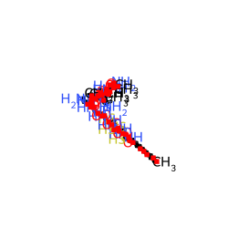 CCCCCCCCCCCCCCCC(=O)NC(CS)C(=O)NC(CS)C(=O)NC(CS)C(=O)NC(CS)C(=O)NCC(=O)NCC(=O)NCC(=O)NC(CCCCN)C(=O)NC(C(=O)NC(CCCCN)C(=O)NC(C(=O)NC(C)C(=O)NC(C(N)=O)C(C)C)C(C)C)C(C)CC